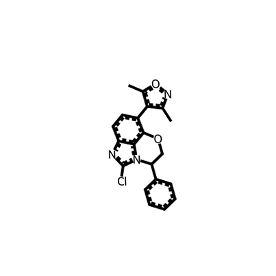 Cc1noc(C)c1-c1ccc2nc(Cl)n3c2c1OCC3c1ccccc1